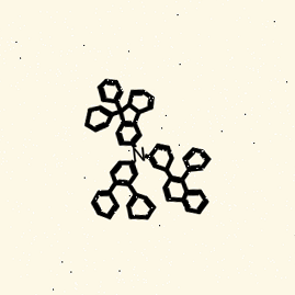 C1=CC2c3cc(N(C4=CC(c5ccc6ccccc6c5-c5ccccc5)CC=C4)c4ccc(-c5ccccc5)c(C5=CCCC=C5)c4)ccc3C(C3=CCCC=C3)(c3ccccc3)C2C=C1